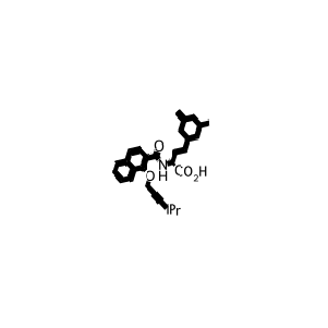 C=C1CC(C)CC(CC[C@H](NC(=O)c2ccc3ccccc3c2OCC#CC(C)C)C(=O)O)C1